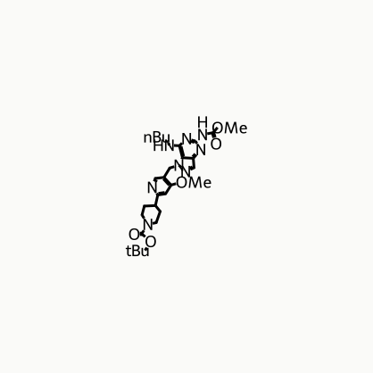 CCCCNc1nc(NC(=O)OC)nc2cnn(Cc3cnc(C4CCN(C(=O)OC(C)(C)C)CC4)cc3OC)c12